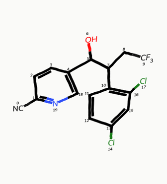 N#Cc1ccc(C(O)C(CC(F)(F)F)c2ccc(Cl)cc2Cl)cn1